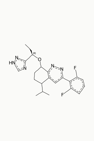 CC[C@@H](OC1CCC(C(C)C)c2cc(-c3c(F)cccc3F)nnc21)c1nc[nH]n1